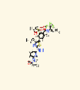 Cc1nc(Nc2cccc(N3CCCC3=O)n2)sc1-c1cc2c(c(S(C)(=O)=O)c1)C(=O)N([C@@H](C)C(F)(F)F)C2